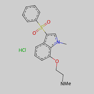 CNCCOc1cccc2c(S(=O)(=O)c3ccccc3)cn(C)c12.Cl